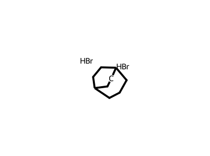 Br.Br.C1CC2CCC(C1)CC2